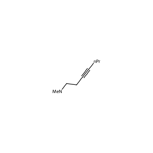 CCCC#CCCNC